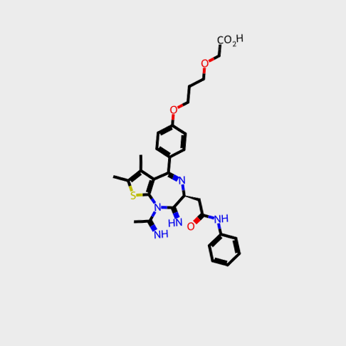 CC(=N)N1C(=N)[C@H](CC(=O)Nc2ccccc2)N=C(c2ccc(OCCCOCC(=O)O)cc2)c2c1sc(C)c2C